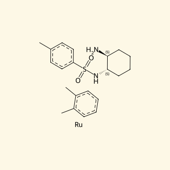 Cc1ccc(S(=O)(=O)N[C@H]2CCCC[C@@H]2N)cc1.Cc1ccccc1C.[Ru]